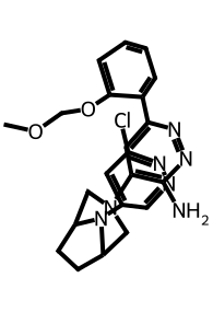 COCOc1ccccc1-c1cc(N2CC3CCC(C2)N3c2cnnc(Cl)c2)c(N)nn1